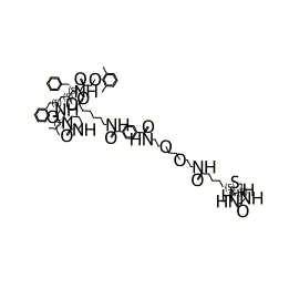 Cc1cccc(C)c1OCC(=O)N[C@@H](Cc1ccccc1)[C@H](C[C@H](Cc1ccccc1)NC(=O)[C@H](C(C)C)N1CCCNC1=O)OC(=O)CCCCCNC(=O)c1ccc(C(=O)NCCOCCOCCNC(=O)CCCC[C@@H]2SC[C@@H]3NC(=O)N[C@@H]32)cc1